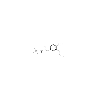 CC(C)(C)OC(=O)NCc1ccc(N)c(CCO)c1